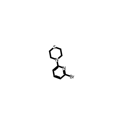 Brc1cccc(N2CCSCC2)n1